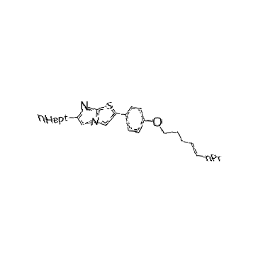 CCCC=CCCCOc1ccc(-c2cn3cc(CCCCCCC)nc3s2)cc1